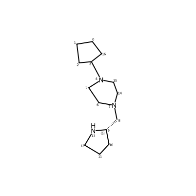 C1CCC(N2CCN(C[C@@H]3CCCN3)CC2)C1